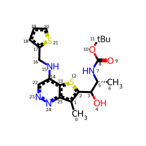 Cc1c(C(O)[C@@H](C)NC(=O)OC(C)(C)C)sc2c(NCc3cccs3)cnnc12